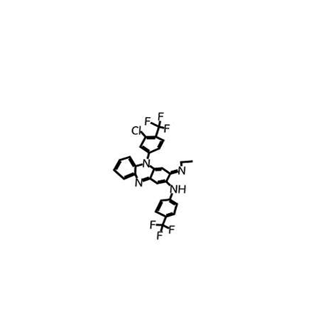 CCN=c1cc2n(-c3ccc(C(F)(F)F)c(Cl)c3)c3ccccc3nc-2cc1Nc1ccc(C(F)(F)F)cc1